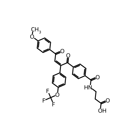 COc1ccc(C(=O)/C=C(\C(=O)c2ccc(C(=O)NCCC(=O)O)cc2)c2ccc(OC(F)(F)F)cc2)cc1